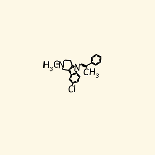 CC(=Cn1c2c(c3cc(Cl)ccc31)CN(C)CC2)c1ccccc1